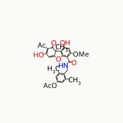 COc1cc(O)c2c(c1C(=O)NCc1c(C)cc(OC(C)=O)cc1C)OC1=CC(O)=C(C(C)=O)C(=O)C12C